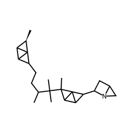 CC(CCC1C2C3[C@@H](C)C123)C(C)(C)C1(C)C2C3C(C4CC5CN54)C321